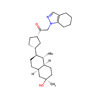 CCCC[C@H]1[C@H]([C@@H]2CC[C@H](C(=O)Cn3ncc4c3CCCC4)C2)CC[C@@H]2C[C@](C)(O)CC[C@@H]21